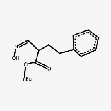 CCCCOC(=O)C(/C=N\O)CCc1ccccc1